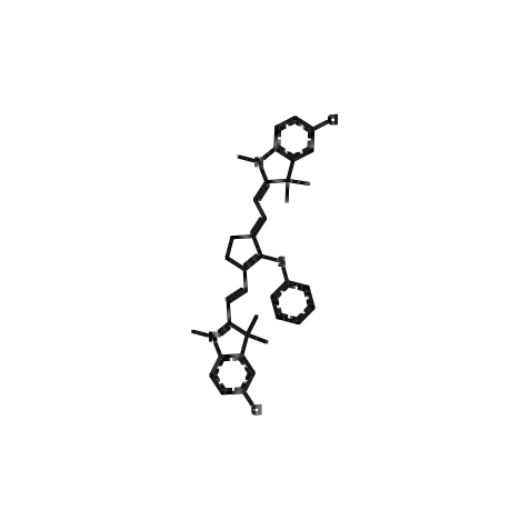 CN1/C(=C/C=C2\CCC(/C=C/C3=[N+](C)c4ccc(Cl)cc4C3(C)C)=C2Sc2ccccc2)C(C)(C)c2cc(Cl)ccc21